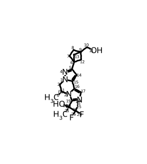 C[C@H]1Cn2nc(C34CCC(CO)(C3)C4)cc2-c2cnc([C@@](C)(O)C(F)(F)F)n21